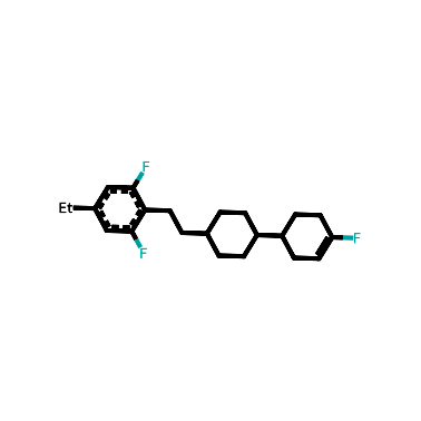 CCc1cc(F)c(CCC2CCC(C3CC=C(F)CC3)CC2)c(F)c1